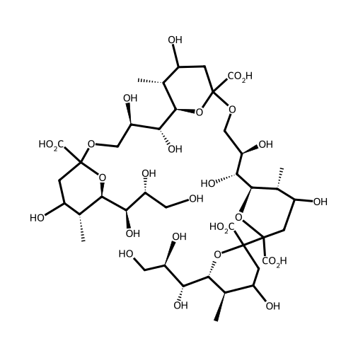 C[C@@H]1C(O)CC(OC[C@@H](O)[C@@H](O)[C@@H]2OC(OC[C@@H](O)[C@@H](O)[C@@H]3OC(C(=O)O)(C4(C(=O)O)CC(O)[C@@H](C)[C@H]([C@H](O)[C@H](O)CO)O4)CC(O)[C@H]3C)(C(=O)O)CC(O)[C@H]2C)(C(=O)O)O[C@H]1[C@H](O)[C@H](O)CO